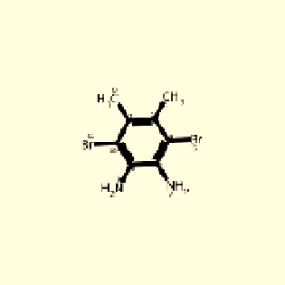 Cc1c(C)c(Br)c(N)c(N)c1Br